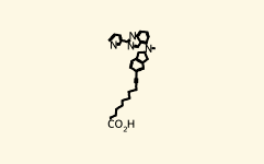 CN(c1cccc2nc(-c3cccnc3)ncc12)C1Cc2ccc(C#CCCCCCCCCC(=O)O)cc2C1